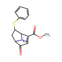 COC(=O)C1=CC(=O)C2CC(Sc3ccccc3)C1N2C